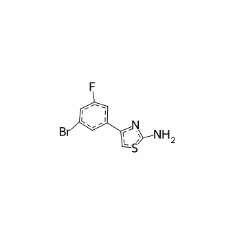 Nc1nc(-c2cc(F)cc(Br)c2)cs1